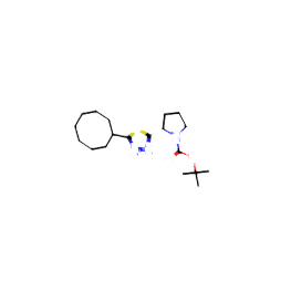 CC(C)(C)OC(=O)N1CCC[C@H]1c1nnc(C2CCCCCCC2)s1